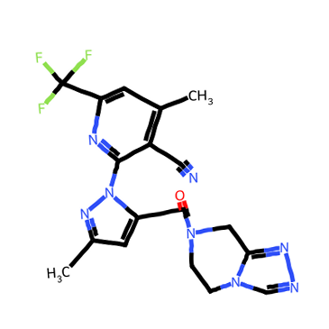 Cc1cc(C(=O)N2CCn3cnnc3C2)n(-c2nc(C(F)(F)F)cc(C)c2C#N)n1